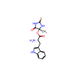 CC1(OC(=O)[C@@H](N)Cc2c[nH]c3ccccc23)NC(=S)NC1=O